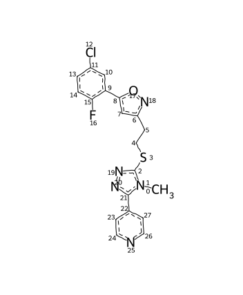 Cn1c(SCCc2cc(-c3cc(Cl)ccc3F)on2)nnc1-c1ccncc1